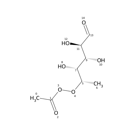 CC(=O)OO[C@@H](C)[C@H](O)[C@@H](O)[C@@H](O)C=O